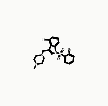 CN1CCN(Cc2cn(S(=O)(=O)c3ccccc3Br)c3cccc(Cl)c23)CC1